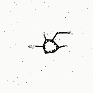 CC(=O)c1ccc(C(=O)O)c(C)c1CN